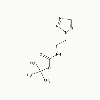 CC(C)(C)OC(=O)NCCn1ncnn1